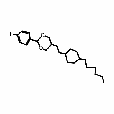 CCCCCCC1CCC(CCC2COC(c3ccc(F)cc3)OC2)CC1